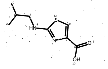 CC(C)CNc1nc(C(=O)O)cs1